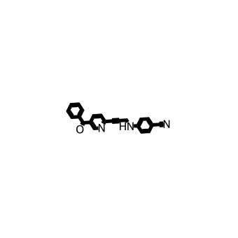 N#Cc1ccc(NCC#Cc2ccc(C(=O)c3ccccc3)cn2)cc1